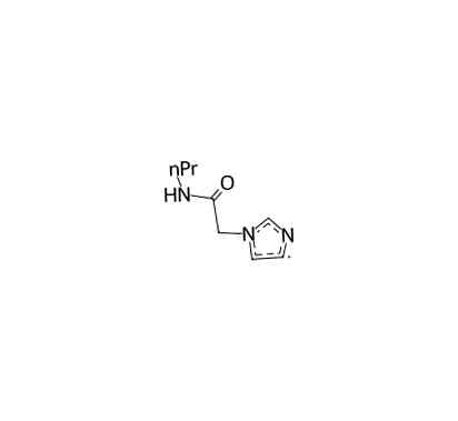 CCCNC(=O)Cn1c[c]nc1